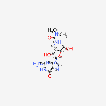 CN(C)C(=O)NC[C@H]1[C@@H](O)[C@H](n2cnc3c(=O)[nH]c(N)nc32)O[C@@H]1CO